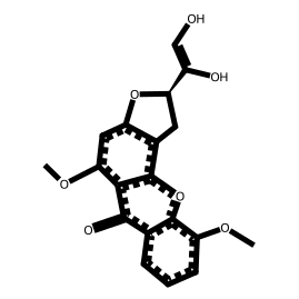 COc1cccc2c(=O)c3c(OC)cc4c(c3oc12)C[C@H](/C(O)=C/O)O4